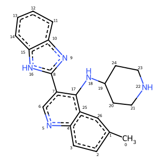 Cc1ccc2ncc(-c3nc4ccccc4[nH]3)c(NC3CCNCC3)c2c1